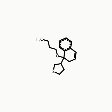 CCCCOC1(C2CCSC2)CC=Cc2ccccc21